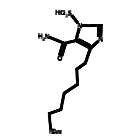 CCCCCCCCCCCCCCCCc1ncn(S(=O)(=O)O)c1C(N)=O